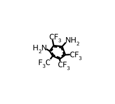 Nc1c(C(F)(F)F)c(N)c(C(F)(F)F)c(C(F)(F)F)c1C(F)(F)F